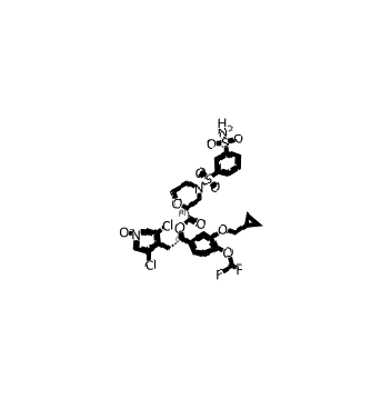 NS(=O)(=O)c1cccc(S(=O)(=O)N2CCO[C@@H](C(=O)O[C@@H](Cc3c(Cl)c[n+]([O-])cc3Cl)c3ccc(OC(F)F)c(OCC4CC4)c3)C2)c1